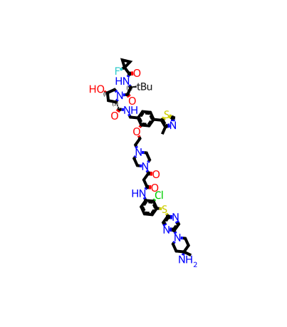 Cc1ncsc1-c1ccc(CNC(=O)[C@@H]2C[C@@H](O)CN2C(=O)[C@@H](NC(=O)C2(F)CC2)C(C)(C)C)c(OCCN2CCN(C(=O)CC(=O)Nc3cccc(Sc4cnc(N5CCC(C)(N)CC5)cn4)c3Cl)CC2)c1